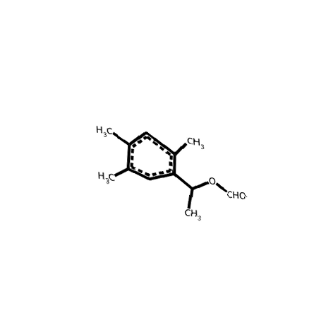 Cc1cc(C)c(C(C)O[C]=O)cc1C